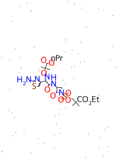 CCCOC(=O)C(C)(C)O/N=C(/C(=O)N[C@@H]1C(=O)N(S(=O)(=O)OCC(C)(C)C(=O)OCC)[C@H]1C)c1csc(N)n1